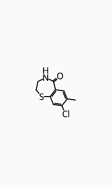 Cc1cc2c(cc1Cl)SCCNC2=O